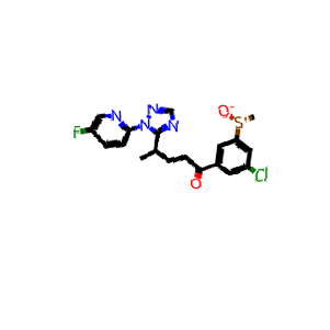 CC(CCC(=O)c1cc(Cl)cc([S+](C)[O-])c1)c1ncnn1-c1ccc(F)cn1